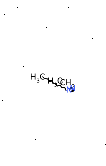 CC.CCCCCCCCCCCCn1ccnc1